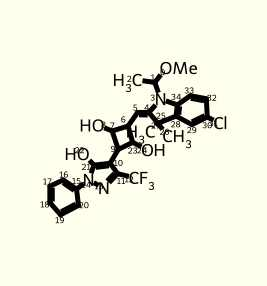 COC(C)N1/C(=C/C2C(O)C(c3c(C(F)(F)F)nn(-c4ccccc4)c3O)C2O)C(C)(C)c2cc(Cl)ccc21